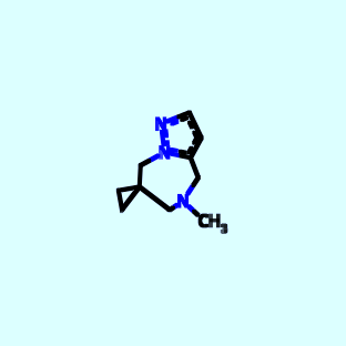 CN1Cc2ccnn2CC2(CC2)C1